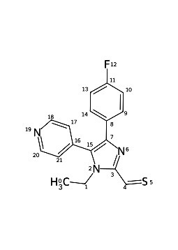 CCn1c(C=S)nc(-c2ccc(F)cc2)c1-c1ccncc1